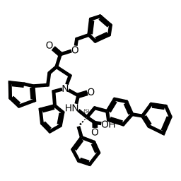 O=C(OCc1ccccc1)C(CCc1ccccc1)CN(Cc1ccccc1)C(=O)N[C@@](Cc1ccccc1)(Cc1ccc(-c2ccccc2)cc1)C(=O)O